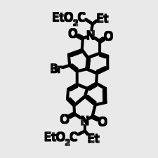 CCOC(=O)C(CC)N1C(=O)c2ccc3c4ccc5c6c(cc(Br)c(c7ccc(c2c37)C1=O)c64)C(=O)N(C(CC)C(=O)OCC)C5=O